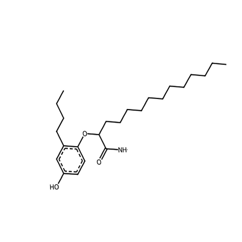 CCCCCCCCCCCCC(Oc1ccc(O)cc1CCCC)C([NH])=O